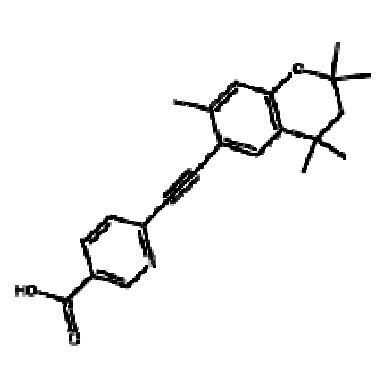 Cc1cc2c(cc1C#Cc1ccc(C(=O)O)cn1)C(C)(C)CC(C)(C)O2